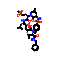 Cc1ccc(S(=O)(=O)N[C@@H](CC(C)C)C(=O)N[C@@H](CCS(C)(=O)=O)C(=O)N[C@@H](CC(C)C)[C@@H](O)C[C@@H](C)C(=O)N[C@H](C(=O)NCc2ccccc2)C(C)C)cc1